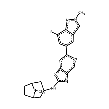 CN1C2CCC1CC(Nc1nc3cnc(-c4cc(F)c5nn(C)cc5c4)cc3s1)C2